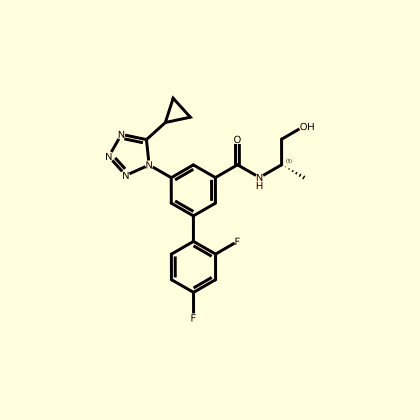 C[C@@H](CO)NC(=O)c1cc(-c2ccc(F)cc2F)cc(-n2nnnc2C2CC2)c1